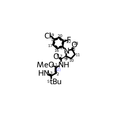 CO/C(=C\C(=N)C(C)(C)C)NC(=O)[C@@H]1CCC(=O)N1c1ccc(Cl)cc1F